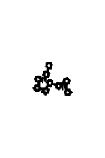 c1ccc(-c2ccc(-n3c4ccccc4c4ccccc4c4ccccc4c4cc(-c5ccc6c(c5)c5ccccc5n6-c5ccccc5)ccc43)cc2)cc1